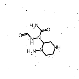 NC(=O)N(NC=O)C1CNCCN1N